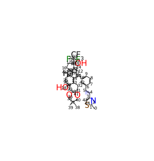 Cc1nc(/C=C/c2cccc([C@H]3C[C@@]4(C)[C@@H](CC[C@@]4(O)C(F)(F)C(F)(F)F)[C@@H]4CC[C@@]5(O)CC6(CCC5=C43)OCC(C)(C)CO6)c2)cs1